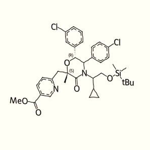 COC(=O)c1ccc(C[C@]2(C)O[C@H](c3cccc(Cl)c3)C(c3ccc(Cl)cc3)N(C(CO[Si](C)(C)C(C)(C)C)C3CC3)C2=O)nc1